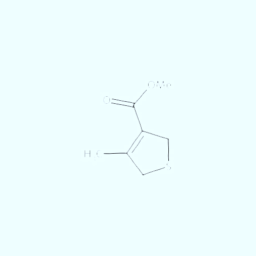 COC(=O)C1=C(C)CSC1